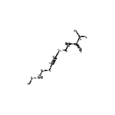 CCNCCC#CCCNC(=O)C(C)C